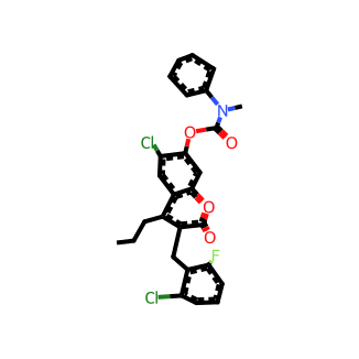 CCCc1c(Cc2c(F)cccc2Cl)c(=O)oc2cc(OC(=O)N(C)c3ccccc3)c(Cl)cc12